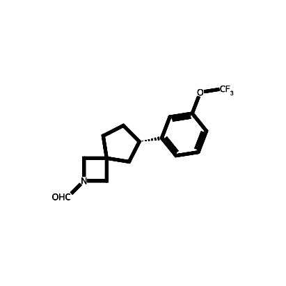 O=CN1CC2(CC[C@H](c3cccc(OC(F)(F)F)c3)C2)C1